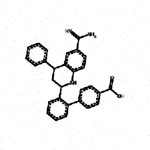 N=C(N)c1ccc2c(c1)C(c1ccccc1)CC(c1ccccc1-c1ccc(C(=O)O)cc1)N2